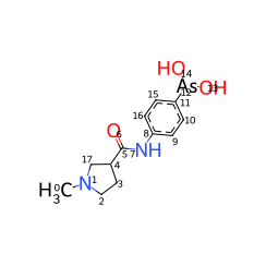 CN1CCC(C(=O)Nc2ccc([As](O)O)cc2)C1